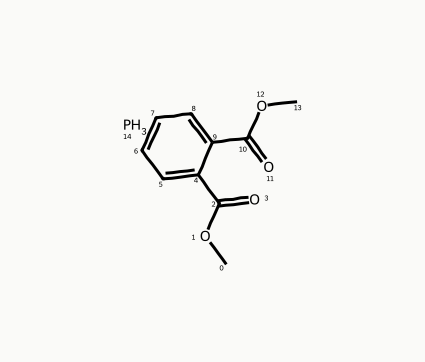 COC(=O)c1ccccc1C(=O)OC.P